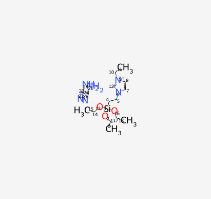 CCO[Si](CCn1cc[n+](CC)c1)(OCC)OCC.N#CN.N#CN